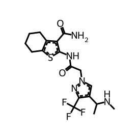 CNC(C)c1cn(CC(=O)Nc2sc3c(c2C(N)=O)CCCC3)nc1C(F)(F)F